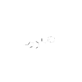 O=C(NC1CC2CNC1C2)c1cn2cc(Br)cc2cn1